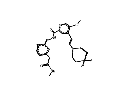 CNC(=O)Cc1cccc(CNC(=O)c2cc(C=CC3CCC(F)(F)CC3)c(OC)cn2)c1